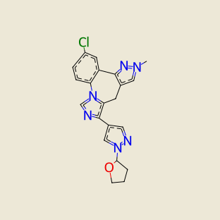 Cn1cc2c(n1)-c1cc(Cl)ccc1-n1cnc(-c3cnn(C4CCCO4)c3)c1C2